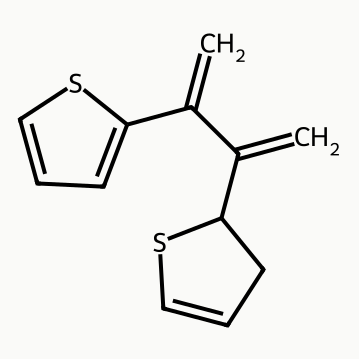 C=C(C(=C)C1CC=CS1)c1cccs1